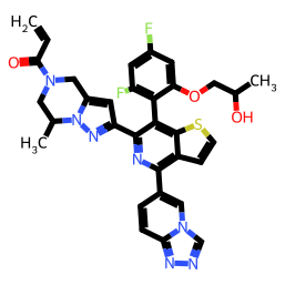 C=CC(=O)N1Cc2cc(-c3nc(-c4ccc5nncn5c4)c4ccsc4c3-c3c(F)cc(F)cc3OCC(C)O)nn2C(C)C1